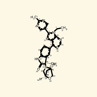 CCn1c(-c2cnc(C)nc2)nc2c(-c3ccc4c(c3)[C@@](C)(N3C[C@H]5C[C@@H]3CO5)C(=O)N4)ncnc21